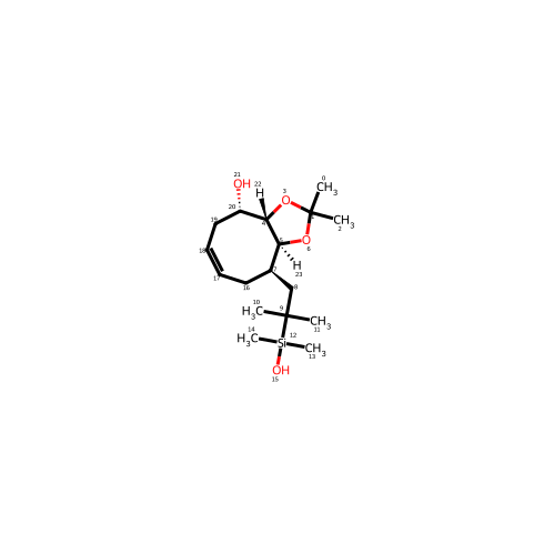 CC1(C)O[C@@H]2[C@@H](O1)[C@@H](CC(C)(C)[Si](C)(C)O)C/C=C\C[C@@H]2O